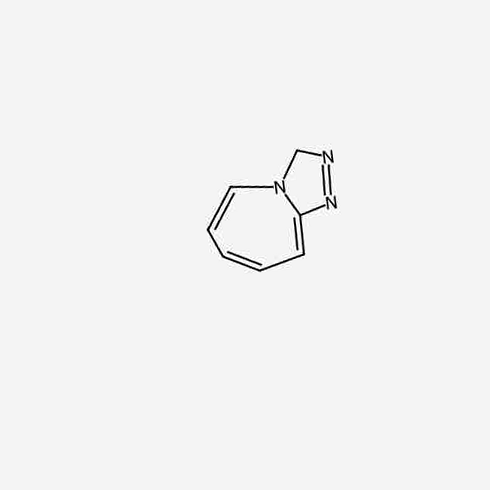 C1=CC=C2N=NCN2C=C1